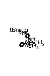 C=CCc1c(C)nc(-c2ccccc2)nc1Nc1ccc(C(=O)OCOCC(C)(C)C)cc1